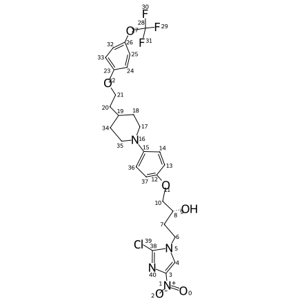 O=[N+]([O-])c1cn(CC[C@@H](O)COc2ccc(N3CCC(CCOc4ccc(OC(F)(F)F)cc4)CC3)cc2)c(Cl)n1